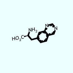 N[C@@H](Cc1ccc2cncnc2c1)C(=O)O